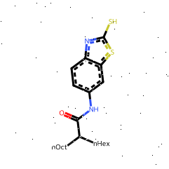 CCCCCCCCC(CCCCCC)C(=O)Nc1ccc2nc(S)sc2c1